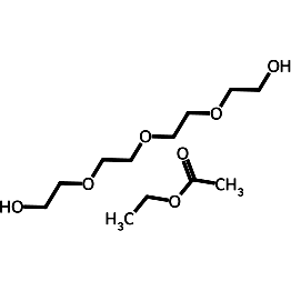 CCOC(C)=O.OCCOCCOCCOCCO